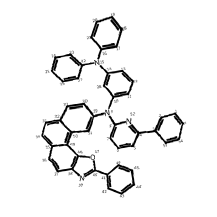 c1ccc(-c2cccc(N(c3cccc(N(c4ccccc4)c4ccccc4)c3)c3ccc4ccc5ccc6nc(-c7ccccc7)oc6c5c4c3)n2)cc1